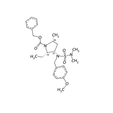 CC[C@H]1[C@@H](N(Cc2ccc(OC)cc2)S(=O)(=O)N(C)C)C[C@@H](C)N1C(=O)OCc1ccccc1